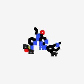 C=CCn1c(=O)c2cnc(Nc3cc4c(c(C(C)C)c3)CCN(C)C4)nc2n1-c1cccc(N=S(=O)(CC)CC)n1